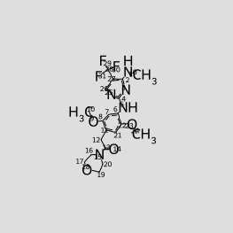 CNc1nc(Nc2cc(OC)c(CC(=O)N3CCOCC3)cc2OC)ncc1C(F)(F)F